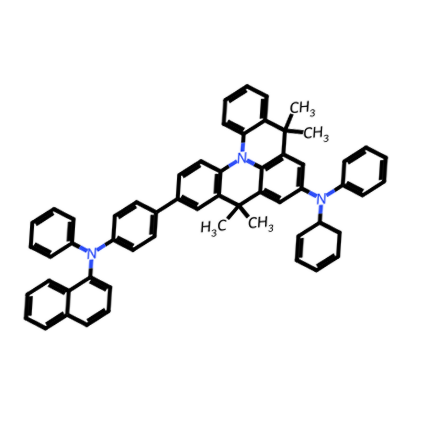 CC1(C)c2ccccc2N2c3ccc(-c4ccc(N(c5ccccc5)c5cccc6ccccc56)cc4)cc3C(C)(C)c3cc(N(c4ccccc4)C4C=CC=CC4)cc1c32